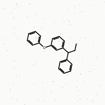 [CH2]CC(c1ccccc1)c1cccc(Oc2ccccc2)c1